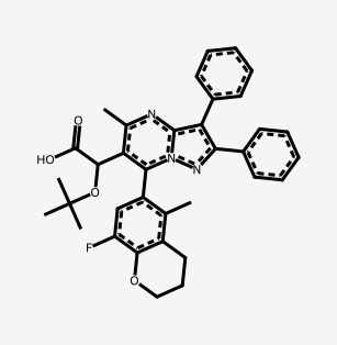 Cc1nc2c(-c3ccccc3)c(-c3ccccc3)nn2c(-c2cc(F)c3c(c2C)CCCO3)c1C(OC(C)(C)C)C(=O)O